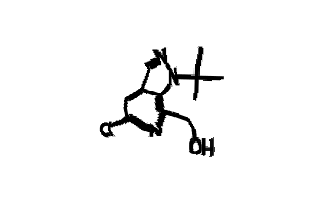 CC(C)(C)n1ncc2cc(Cl)nc(CO)c21